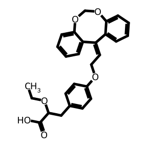 CCOC(Cc1ccc(OCC=C2c3ccccc3OCOc3ccccc32)cc1)C(=O)O